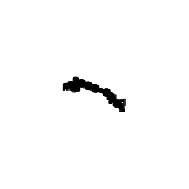 Cc1c(-c2ccc(C#N)c(Cl)c2)nn(Cc2ccc(C#CC3CCN(C4CCN(c5ccc6c(c5)C(=O)N(C5CCC(=O)NC5=O)C6=O)CC4)CC3)cc2)c1C